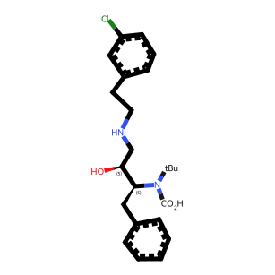 CC(C)(C)N(C(=O)O)[C@@H](Cc1ccccc1)[C@@H](O)CNCCc1cccc(Cl)c1